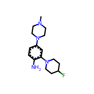 CN1CCN(c2ccc(N)c(N3CCC(F)CC3)c2)CC1